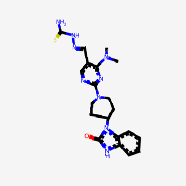 CN(C)c1nc(N2CCC(n3c(=O)[nH]c4ccccc43)CC2)ncc1/C=N/NC(N)=S